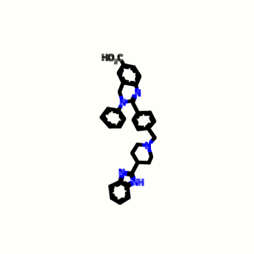 O=C(O)c1ccc2c(c1)CN(c1ccccc1)C(c1ccc(CN3CCC(c4nc5ccccc5[nH]4)CC3)cc1)=N2